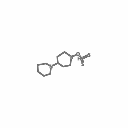 S=[SH](=S)ON1CCC(N2CCCCC2)CC1